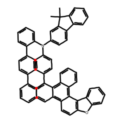 CC1(C)c2ccccc2-c2ccc(N(c3ccc(-c4cccc5c6ccc7oc8ccccc8c7c6c6ccccc6c45)cc3)c3ccccc3-c3ccc(-c4ccccc4)cc3)cc21